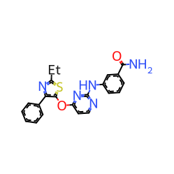 CCc1nc(-c2ccccc2)c(Oc2ccnc(Nc3cccc(C(N)=O)c3)n2)s1